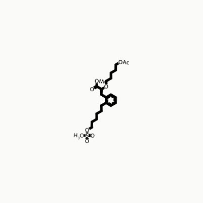 COC(=O)C(Cc1ccccc1CCCCCCOS(C)(=O)=O)OCCCCCOC(C)=O